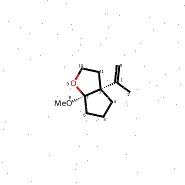 C=C(C)[C@]12CCC[C@@]1(OC)OCC2